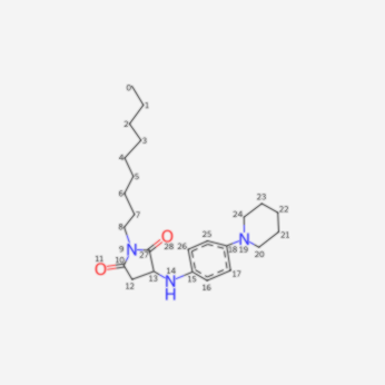 CCCCCCCCCN1C(=O)CC(Nc2ccc(N3CCCCC3)cc2)C1=O